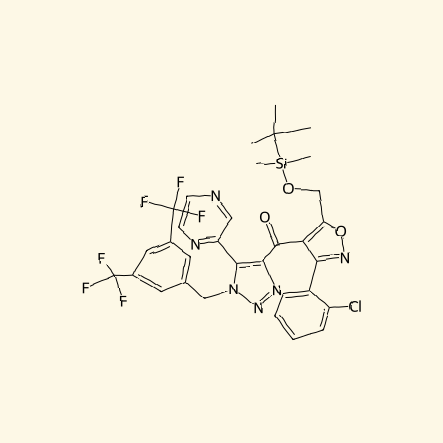 CC(C)(C)[Si](C)(C)OCc1onc(-c2ccccc2Cl)c1C(=O)c1nnn(Cc2cc(C(F)(F)F)cc(C(F)(F)F)c2)c1-c1cnccn1